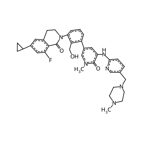 CN1CCN(Cc2ccc(Nc3cc(-c4cccc(N5CCc6cc(C7CC7)cc(F)c6C5=O)c4CO)cn(C)c3=O)nc2)CC1